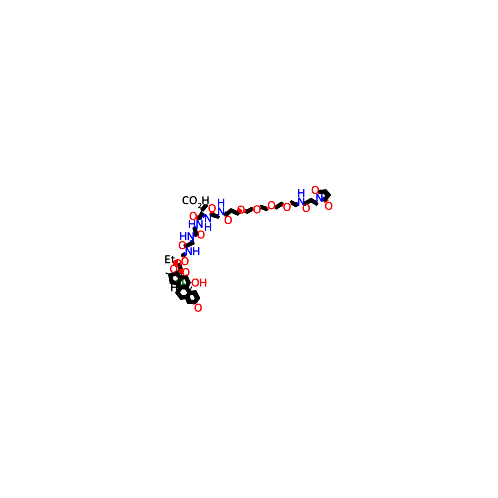 CCC(=O)O[C@]1(C(=O)COCNC(=O)CNC(=O)CNC(=O)[C@H](CCC(=O)O)NC(=O)CNC(=O)CCOCCOCCOCCOCCNC(=O)CCN2C(=O)C=CC2=O)[C@@H](C)CC2[C@@H]3CCC4=CC(=O)C=C[C@]4(C)[C@@]3(Cl)[C@@H](O)C[C@@]21C